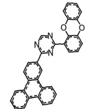 c1ccc2c(c1)Oc1cccc(-c3ncnc(-c4ccc5c6ccccc6c6ccccc6c5c4)n3)c1O2